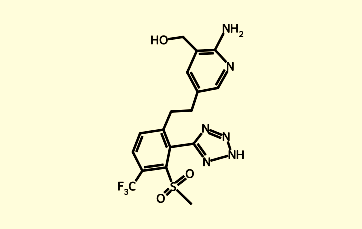 CS(=O)(=O)c1c(C(F)(F)F)ccc(CCc2cnc(N)c(CO)c2)c1-c1nn[nH]n1